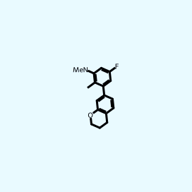 CNc1cc(F)cc(-c2ccc3c(c2)OCCC3)c1C